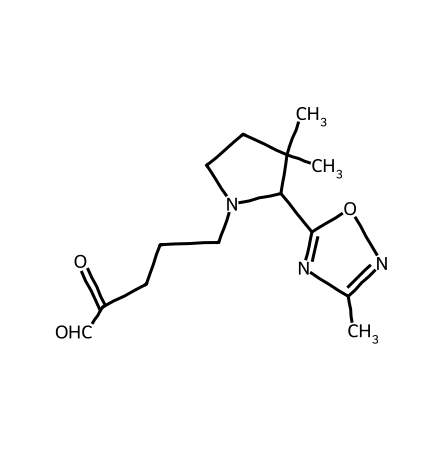 Cc1noc(C2N(CCCC(=O)C=O)CCC2(C)C)n1